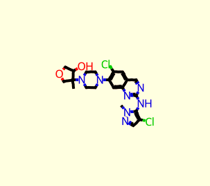 Cn1ncc(Cl)c1Nc1ncc2cc(Cl)c(N3CCN(C4(C)COCC4O)CC3)cc2n1